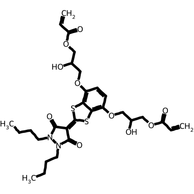 C=CC(=O)OCC(O)COc1ccc(OCC(O)COC(=O)C=C)c2c1SC(=C1C(=O)N(CCCC)N(CCCC)C1=O)S2